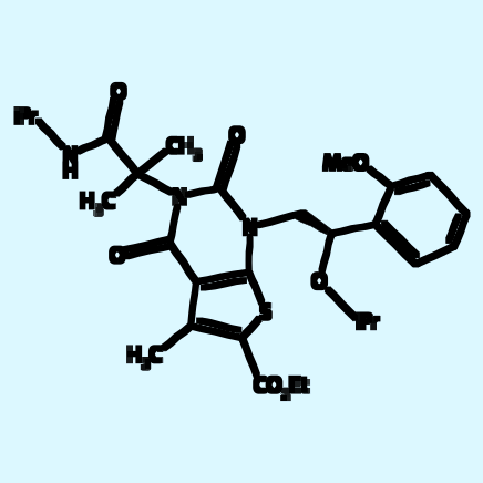 CCOC(=O)c1sc2c(c1C)c(=O)n(C(C)(C)C(=O)NC(C)C)c(=O)n2C[C@H](OC(C)C)c1ccccc1OC